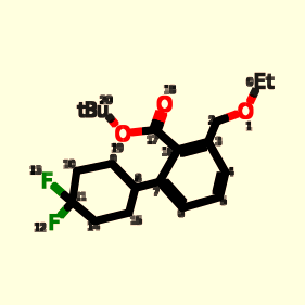 CCOCc1cccc(C2CCC(F)(F)CC2)c1C(=O)OC(C)(C)C